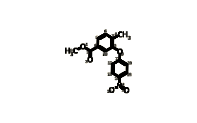 COC(=O)c1ccc(C)c(Oc2ccc([N+](=O)[O-])cc2)c1